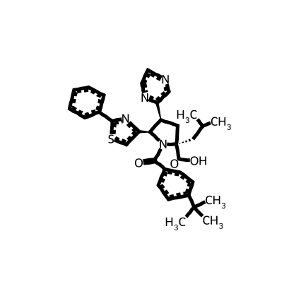 CC(C)C[C@@]1(C(=O)O)C[C@H](c2cnccn2)[C@H](c2csc(-c3ccccc3)n2)N1C(=O)c1ccc(C(C)(C)C)cc1